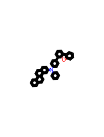 c1ccc(N(c2ccc(-c3cccc4c3oc3ccccc34)cc2)c2ccc3ccc4c5ccccc5ccc4c3c2)cc1